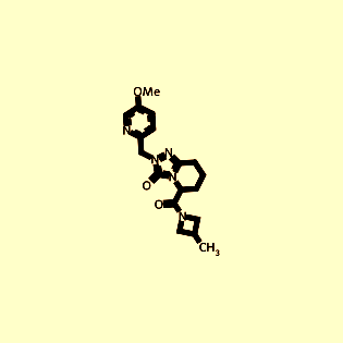 COc1ccc(Cn2nc3n(c2=O)C(C(=O)N2CC(C)C2)CCC3)nc1